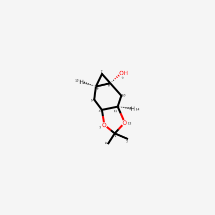 CC1(C)OC2C[C@H]3C[C@@]3(O)C[C@H]2O1